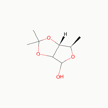 C[C@H]1OC(O)C2OC(C)(C)O[C@@H]21